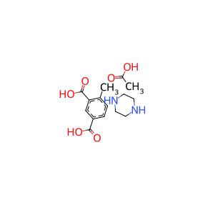 C1CNCCN1.CC(=O)O.Cc1ccc(C(=O)O)cc1C(=O)O